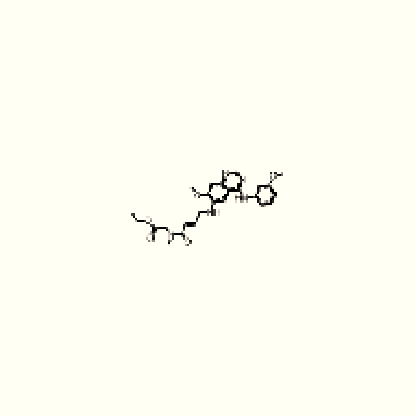 CCOC(=O)CN(C)C(=O)C=CCNc1cc2c(Nc3cccc(OC)c3)ncnc2cc1OC